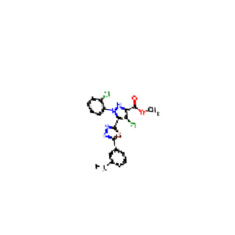 COC(=O)c1nn(-c2ccccc2Cl)c(-c2nnc(-c3cccc(C)c3)s2)c1Cl